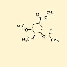 CC[C@H]1[C@@H](OC)C[C@@H](C(=O)OC)C[C@H]1OC(C)=O